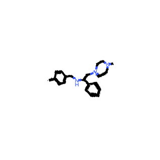 [CH2]c1ccc(CNC(CN2CCN(C)CC2)c2ccccc2)cc1